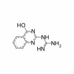 N=C(N)Nc1nc(O)c2ccccc2n1